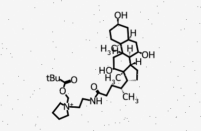 C[C@H](CCC(=O)NCC[N+]1(COC(=O)C(C)(C)C)CCCC1)[C@H]1CC[C@H]2[C@@H]3[C@H](O)C[C@@H]4C[C@H](O)CC[C@]4(C)[C@H]3C[C@H](O)[C@]12C